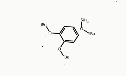 CCC(C)O[SiH3].CCC(C)Oc1ccccc1OC(C)CC